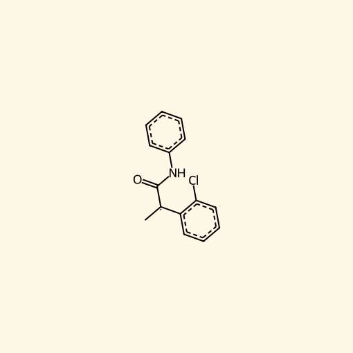 C[C](C(=O)Nc1ccccc1)c1ccccc1Cl